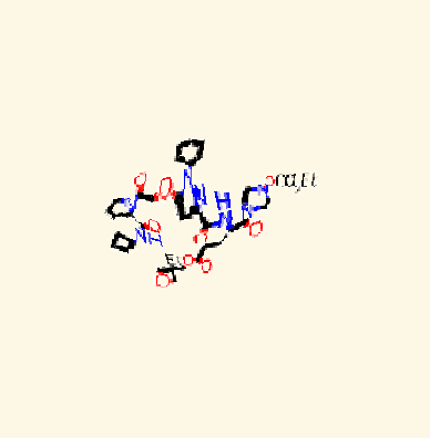 CCOC(=O)ON1CCN(C(=O)[C@H](CCC(=O)OCC2(CC)COC2)NC(=O)c2cc(OCC(=O)N3CCC[C@H]3C(=O)NC3CCC3)n(-c3ccccc3)n2)CC1